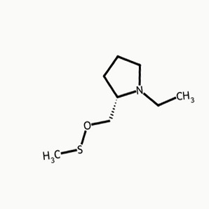 CCN1CCC[C@H]1COSC